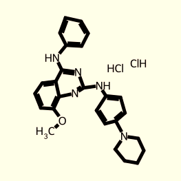 COc1cccc2c(Nc3ccccc3)nc(Nc3ccc(N4CCCCC4)cc3)nc12.Cl.Cl